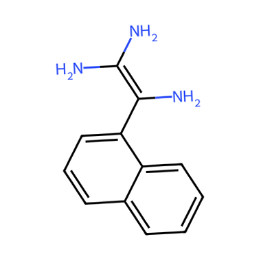 NC(N)=C(N)c1cccc2ccccc12